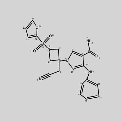 N#CCC1(n2cc(C(N)=O)c(Nc3ccccc3)n2)CN(S(=O)(=O)c2ccco2)C1